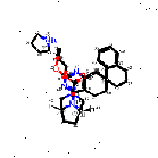 C=CCOC(=O)N1C[C@H]2CC[C@@H](C1)N2c1nc(OC[C@@H]2CCCN2)nc2c1CCC1(CCCc3ccccc31)C2